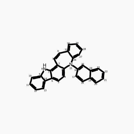 C1=Cc2c(ccc3c2[nH]c2ccccc23)N(c2ccc3ccccc3c2)c2ccccc21